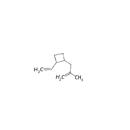 C=CC1CCC1CC(=C)C